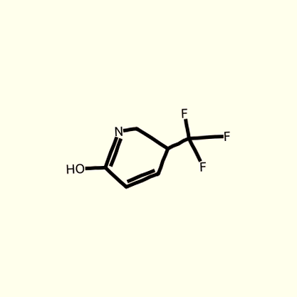 OC1=NCC(C(F)(F)F)C=C1